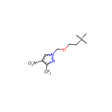 C[Si](C)(C)CCOCn1cc([N+](=O)[O-])c(C(F)(F)F)n1